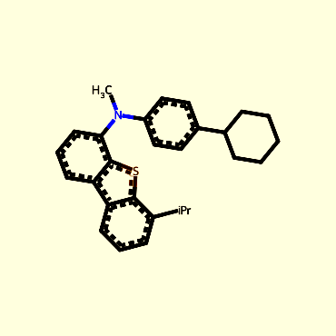 CC(C)c1cccc2c1sc1c(N(C)c3ccc(C4CCCCC4)cc3)cccc12